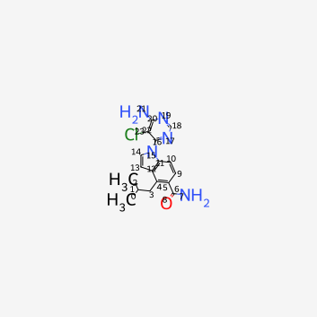 CC(C)Cc1c(C(N)=O)ccc2c1ccn2-c1ncnc(N)c1Cl